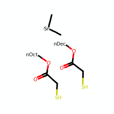 CCCCCCCCCCOC(=O)CS.CCCCCCCCOC(=O)CS.[CH3][Sn][CH3]